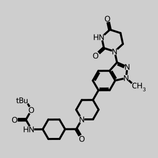 Cn1nc(N2CCC(=O)NC2=O)c2ccc(C3CCN(C(=O)C4CCC(NC(=O)OC(C)(C)C)CC4)CC3)cc21